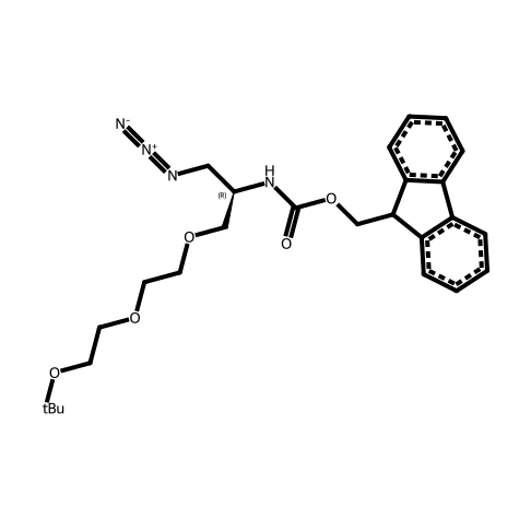 CC(C)(C)OCCOCCOC[C@@H](CN=[N+]=[N-])NC(=O)OCC1c2ccccc2-c2ccccc21